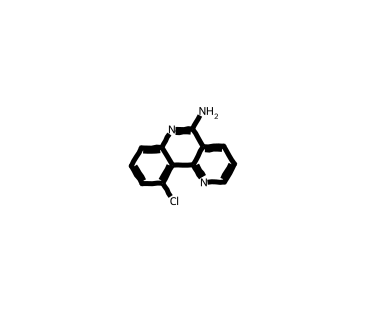 Nc1nc2cccc(Cl)c2c2ncccc12